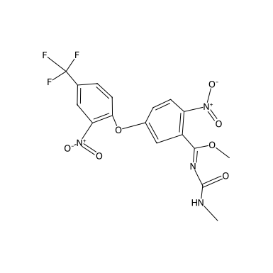 CNC(=O)N=C(OC)c1cc(Oc2ccc(C(F)(F)F)cc2[N+](=O)[O-])ccc1[N+](=O)[O-]